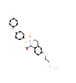 COCCOc1ccc2c(c1)CCN(S(=O)(=O)c1ccc(Oc3ccc(F)cc3)cc1)C2C(=O)OC